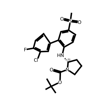 CC(C)(C)OC(=O)N1CCC[C@H]1Nc1ccc(S(C)(=O)=O)cc1-c1ccc(F)c(Cl)c1